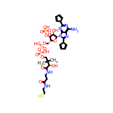 CC(C)(COP(=O)(O)OP(=O)(O)OC[C@H]1O[C@@H](n2c(C3C=CC=C3)nc3c(N)nc(C4C=CC=C4)nc32)[C@H](O)[C@@H]1OP(=O)(O)O)[C@@H](O)C(=O)NCCC(=O)NCCS